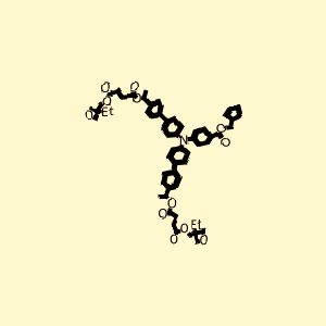 CCC1(COC(=O)CCC(=O)OC(C)c2ccc(-c3ccc(N(c4ccc(C(=O)OCc5ccccc5)cc4)c4ccc(-c5ccc(C(C)OC(=O)CCC(=O)OCC6(CC)COC6)cc5)cc4)cc3)cc2)COC1